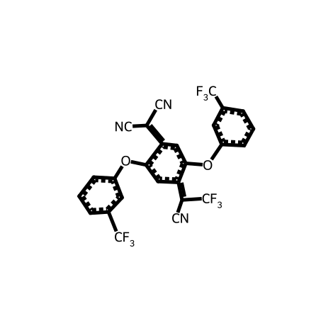 N#CC(C#N)=c1cc(Oc2cccc(C(F)(F)F)c2)/c(=C(/C#N)C(F)(F)F)cc1Oc1cccc(C(F)(F)F)c1